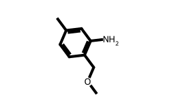 COCc1ccc(C)cc1N